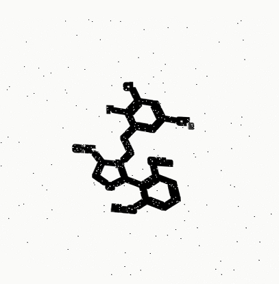 COc1cccc(OC)c1C1OCC(C=O)N1CCc1cc(C(F)(F)F)cc(Cl)c1F